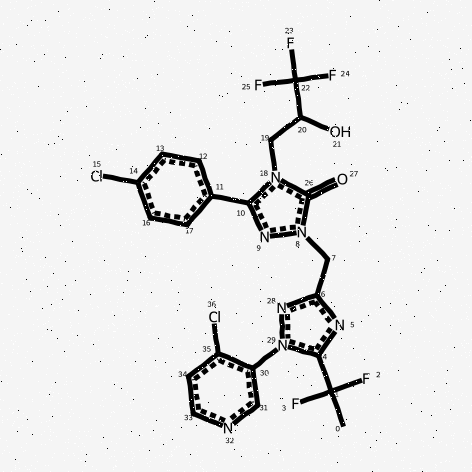 CC(F)(F)c1nc(Cn2nc(-c3ccc(Cl)cc3)n(CC(O)C(F)(F)F)c2=O)nn1-c1cnccc1Cl